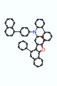 c1ccc(-c2ccccc2N(c2ccc(-c3cccc4ccccc34)cc2)c2ccc3oc4c5ccccc5cc(-c5ccccc5)c4c3c2)cc1